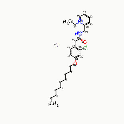 CCCCCCCCCCOc1ccc(CC(=O)NCc2cccc[n+]2CC)c(Cl)c1.[I-]